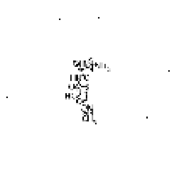 Cc1nnc(SCC2CSC3=[N+](C(=O)C3NC(=O)C(=NO)c3nsc(N)n3)C2C(=O)O)s1